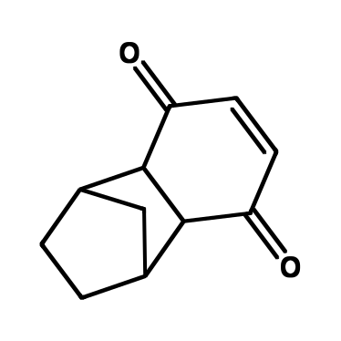 O=C1C=CC(=O)C2C3CCC(C3)C12